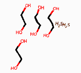 OCCO.OCCO.OCCO.OCCO.S.S